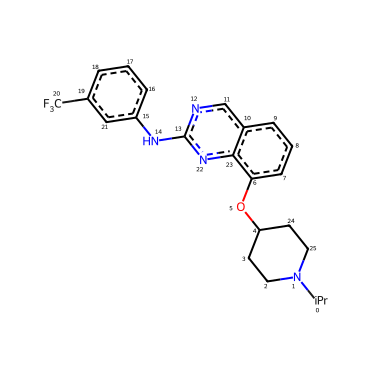 CC(C)N1CCC(Oc2cccc3cnc(Nc4cccc(C(F)(F)F)c4)nc23)CC1